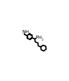 NCc1ccc(C(P)CCC[C]2CCCCC2)cc1